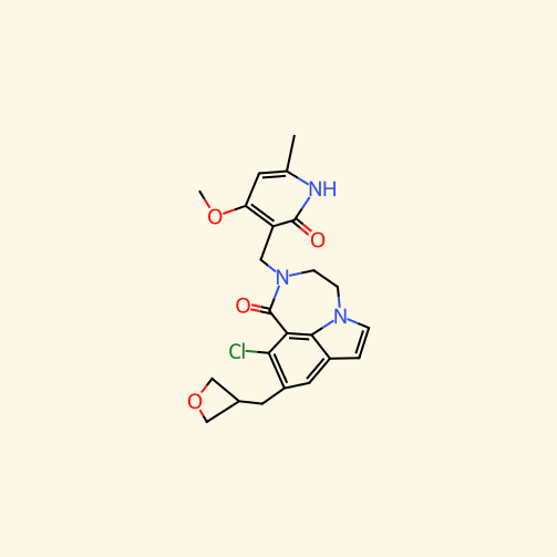 COc1cc(C)[nH]c(=O)c1CN1CCn2ccc3cc(CC4COC4)c(Cl)c(c32)C1=O